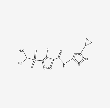 CC(C)S(=O)(=O)c1csc(C(=O)Nc2cc(C3CC3)[nH]n2)c1Cl